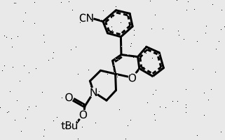 [C-]#[N+]c1cccc(C2=CC3(CCN(C(=O)OC(C)(C)C)CC3)Oc3ccccc32)c1